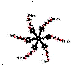 CCCCCCOCCOCCOc1ccc(C#Cc2c(C#Cc3ccc(OCCOCCOCCCCCC)cc3)c(C#Cc3ccc(OCCOCCOCCCCCC)cc3)c(C#Cc3ccc(OCCOCCOCCCCCC)cc3)c(C#Cc3ccc(OCCOCCOCCCCCC)cc3)c2C#Cc2ccc(OCCOCCOCCCCCC)cc2)cc1